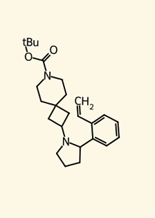 C=Cc1ccccc1C1CCCN1C1CC2(CCN(C(=O)OC(C)(C)C)CC2)C1